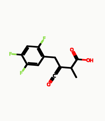 CC(C(=O)O)C(=C=O)Cc1cc(F)c(F)cc1F